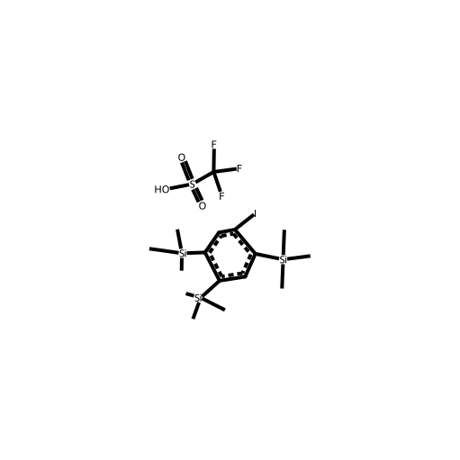 C[Si](C)(C)c1cc([Si](C)(C)C)c([Si](C)(C)C)cc1I.O=S(=O)(O)C(F)(F)F